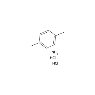 Cc1ccc(C)cc1.Cl.Cl.N